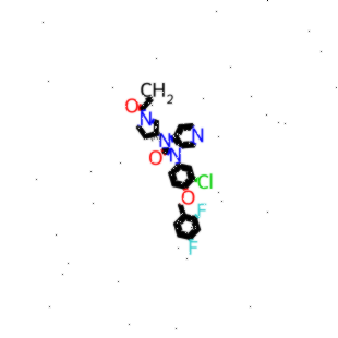 C=CC(=O)N1CC[C@@H](n2c(=O)n(-c3ccc(OCc4ccc(F)cc4F)c(Cl)c3)c3cnccc32)C1